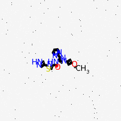 CCO[C@H]1C[C@H](n2cc(NC(=O)c3csc(-c4cn[nH]c4)n3)c(-c3ncccn3)n2)C1